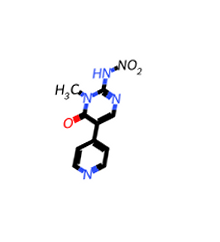 Cn1c(N[N+](=O)[O-])ncc(-c2ccncc2)c1=O